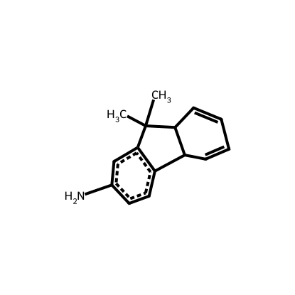 CC1(C)c2cc(N)ccc2C2C=CC=CC21